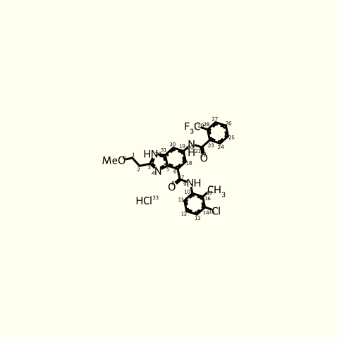 COCCc1nc2c(C(=O)Nc3cccc(Cl)c3C)cc(NC(=O)c3ccccc3C(F)(F)F)cc2[nH]1.Cl